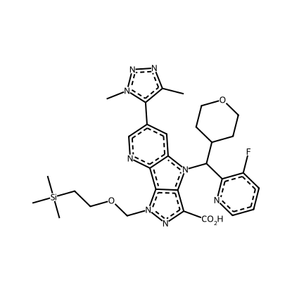 Cc1nnn(C)c1-c1cnc2c3c(c(C(=O)O)nn3COCC[Si](C)(C)C)n(C(c3ncccc3F)C3CCOCC3)c2c1